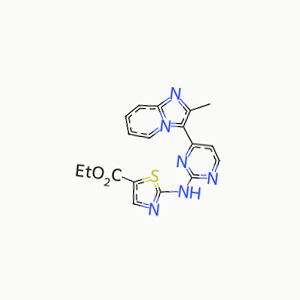 CCOC(=O)c1cnc(Nc2nccc(-c3c(C)nc4ccccn34)n2)s1